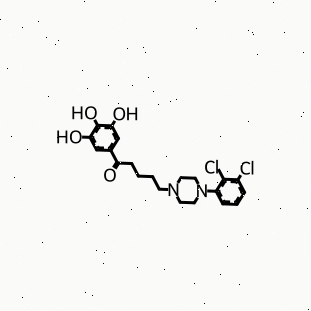 O=C(CCCCN1CCN(c2cccc(Cl)c2Cl)CC1)c1cc(O)c(O)c(O)c1